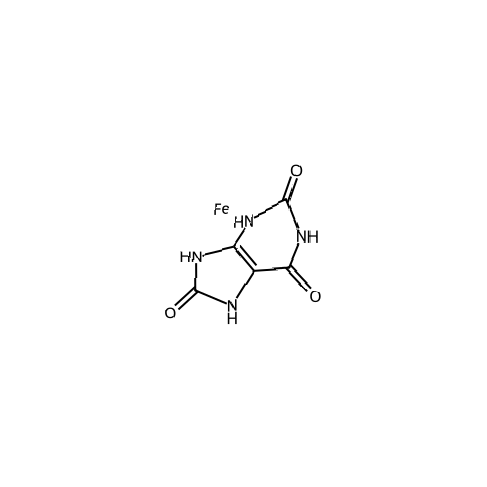 O=c1[nH]c(=O)c2[nH]c(=O)[nH]c2[nH]1.[Fe]